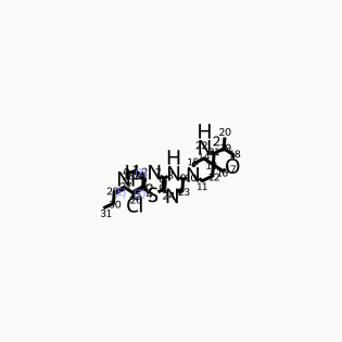 C\C=C/C(SC1=C(N)NC(N2CCC3(CC2)COCC(C)C3N)C=N1)=C(Cl)\C(N)=C/CC